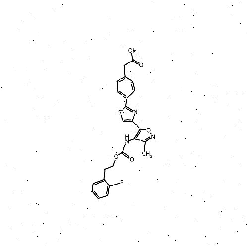 Cc1noc(-c2csc(-c3ccc(CC(=O)O)cc3)n2)c1NC(=O)OCCc1ccccc1F